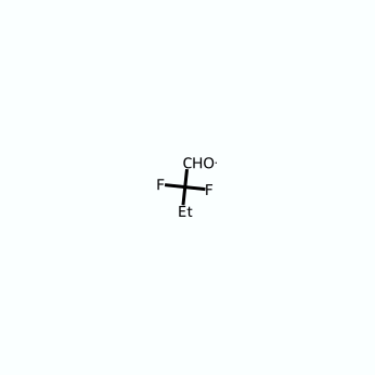 CCC(F)(F)[C]=O